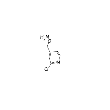 NOCc1ccnc(Cl)c1